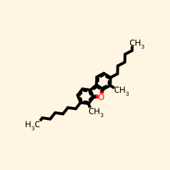 CCCCCCCc1ccc2c(oc3c(C)c(CCCCCC)ccc32)c1C